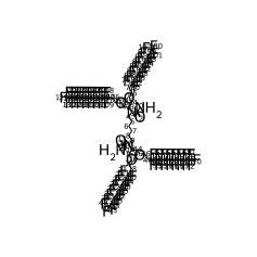 NC(=O)N(CCCCCCN(C(N)=O)C(COCCC(F)(F)C(F)(F)C(F)(F)C(F)(F)C(F)(F)C(F)(F)C(F)(F)C(F)(F)F)COCCC(F)(F)C(F)(F)C(F)(F)C(F)(F)C(F)(F)C(F)(F)C(F)(F)C(F)(F)F)C(COCCC(F)(F)C(F)(F)C(F)(F)C(F)(F)C(F)(F)C(F)(F)C(F)(F)C(F)(F)F)COCCC(F)(F)C(F)(F)C(F)(F)C(F)(F)C(F)(F)C(F)(F)C(F)(F)C(F)(F)F